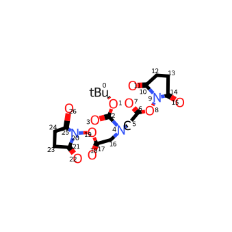 CC(C)(C)OC(=O)N(CC(=O)ON1C(=O)CCC1=O)CC(=O)ON1C(=O)CCC1=O